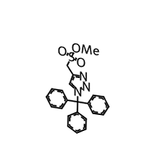 COS(=O)(=O)Cc1cn(C(c2ccccc2)(c2ccccc2)c2ccccc2)nn1